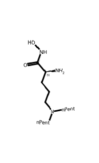 CCCCCN(CCCCC)CCC[C@H](N)C(=O)NO